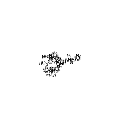 CNC(=O)C1(NC(=O)[C@H](CCCC(=O)O)NC(=O)[C@H](CCCCNC(=O)/C=C/c2cccnc2)NC(=O)Cc2ccc(NC(=O)Nc3ccccc3C)cc2)CCCCC1